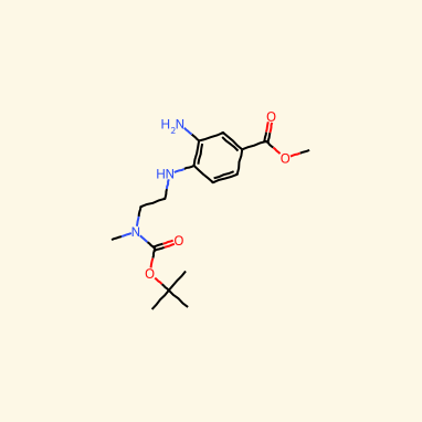 COC(=O)c1ccc(NCCN(C)C(=O)OC(C)(C)C)c(N)c1